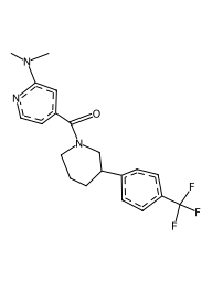 CN(C)c1cc(C(=O)N2CCCC(c3ccc(C(F)(F)F)cc3)C2)ccn1